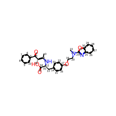 CC(=CC(=O)c1ccccc1)N[C@@H](Cc1ccc(OCCN(C)c2nc3ccccc3o2)cc1)C(=O)O